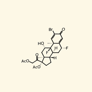 CC(=O)OCC(=O)[C@]1(OC(C)=O)CC[C@H]2[C@@H]3C[C@@H](F)C4=CC(=O)C(Br)=C[C@]4(C)[C@@]3(F)[C@@H](O)C[C@@]21C